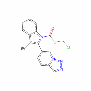 CC(C)c1c(-c2ccc3cnnn3c2)n(C(=O)OCCl)c2ccccc12